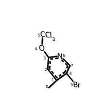 Cc1cc(OC(Cl)(Cl)Cl)ncc1Br